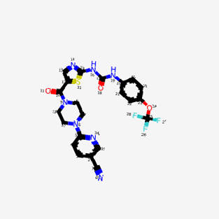 N#Cc1ccc(N2CCN(C(=O)c3cnc(NC(=O)Nc4ccc(OC(F)(F)F)cc4)s3)CC2)nc1